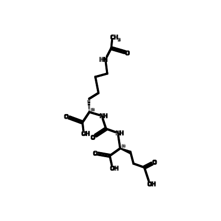 CC(=O)NCCCC[C@H](NC(=O)N[C@@H](CCC(=O)O)C(=O)O)C(=O)O